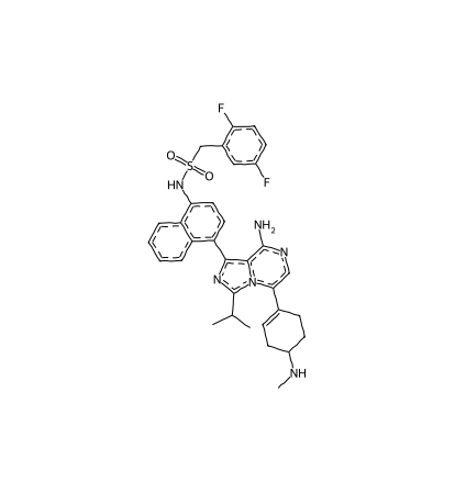 CNC1CC=C(c2cnc(N)c3c(-c4ccc(NS(=O)(=O)Cc5cc(F)ccc5F)c5ccccc45)nc(C(C)C)n23)CC1